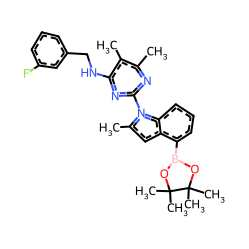 Cc1nc(-n2c(C)cc3c(B4OC(C)(C)C(C)(C)O4)cccc32)nc(NCc2cccc(F)c2)c1C